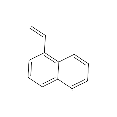 C=Cc1cccc2[c]cccc12